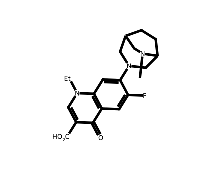 CCn1cc(C(=O)O)c(=O)c2cc(F)c(N3CC4CCC(C3)N(C)C4)cc21